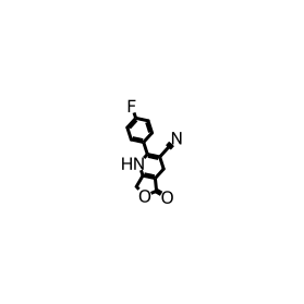 N#CC1=C(c2ccc(F)cc2)NC2=C(C1)C(=O)OC2